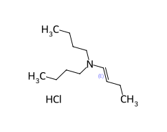 CC/C=C/N(CCCC)CCCC.Cl